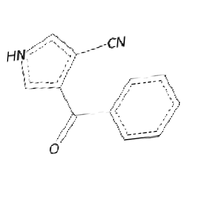 N#Cc1c[nH]cc1C(=O)c1ccccc1